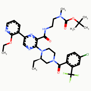 CCOc1ncccc1-c1cnc(N2CCN(C(=O)c3ccc(Cl)cc3C(F)(F)F)C[C@H]2CC)c(C(=O)NCCN(C)C(=O)OC(C)(C)C)n1